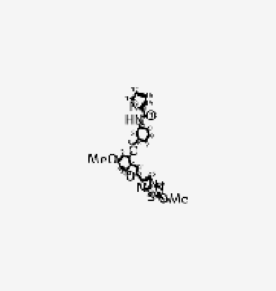 COc1cc(OCc2cccc(NC(=O)c3ccccn3)c2)c2cc(-c3cn4nc(OC)sc4n3)oc2c1